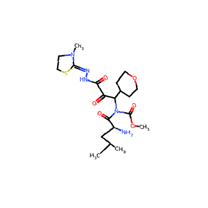 COC(=O)N(C(=O)[C@@H](N)CC(C)C)C(C(=O)C(=O)N/N=C1\SCCN1C)C1CCOCC1